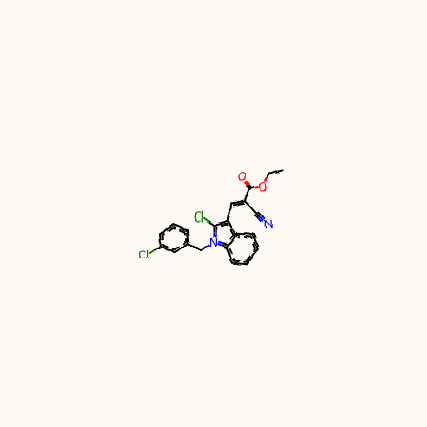 CCOC(=O)C(C#N)=Cc1c(Cl)n(Cc2cccc(Cl)c2)c2ccccc12